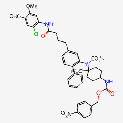 COc1cc(NC(=O)CCCc2ccc(-c3ccccc3)c(N(C(=O)O)C3(C)CCC(NC(=O)OCc4ccc([N+](=O)[O-])cc4)CC3)c2)c(Cl)cc1C=O